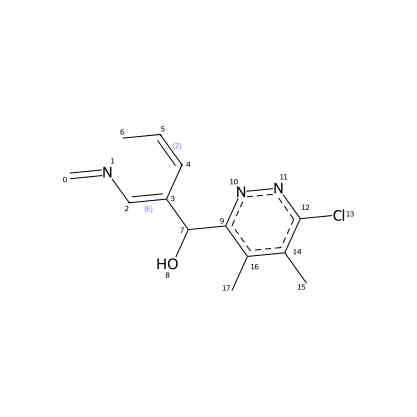 C=N/C=C(\C=C/C)C(O)c1nnc(Cl)c(C)c1C